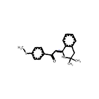 CSc1ccc(C(=O)/C=C2\NC(C)(C)Cc3ccccc32)cc1